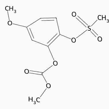 COC(=O)Oc1cc(OC)ccc1OS(C)(=O)=O